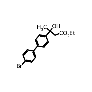 CCOC(=O)CC(C)(O)c1ccc(-c2ccc(Br)cc2)cc1